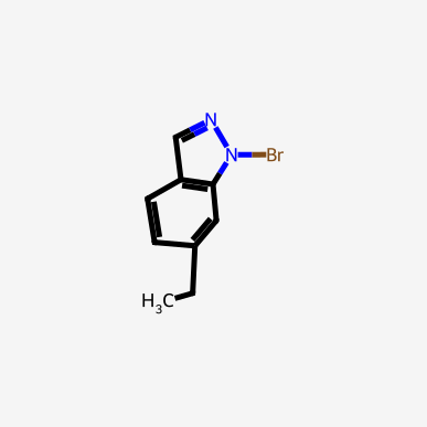 CCc1ccc2cnn(Br)c2c1